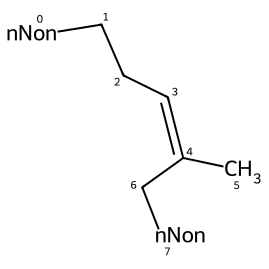 CCCCCCCCCCCC=C(C)CCCCCCCCCC